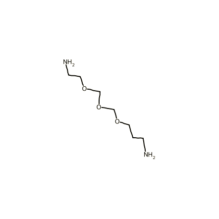 NCCCOCOCOCCN